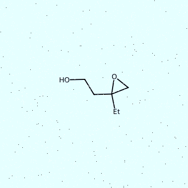 CCC1(CCO)CO1